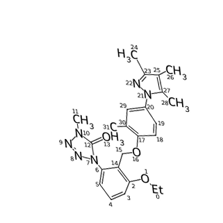 CCOc1cccc(-n2nnn(C)c2=O)c1COc1ccc(-n2nc(C)c(C)c2C)cc1C